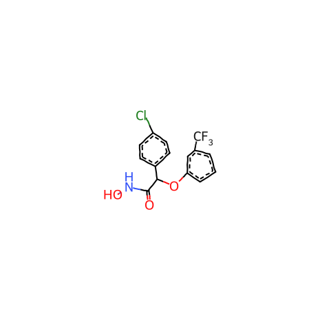 O=C(NO)C(Oc1cccc(C(F)(F)F)c1)c1ccc(Cl)cc1